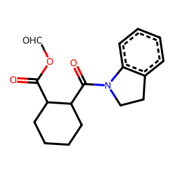 O=COC(=O)C1CCCCC1C(=O)N1CCc2ccccc21